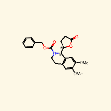 COc1cc2c(cc1OC)[C@H]([C@H]1CCC(=O)O1)N(C(=O)OCc1ccccc1)CC2